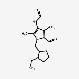 CCN1CCCC1Cn1c(C)c(NC=O)c(C)c1C=O